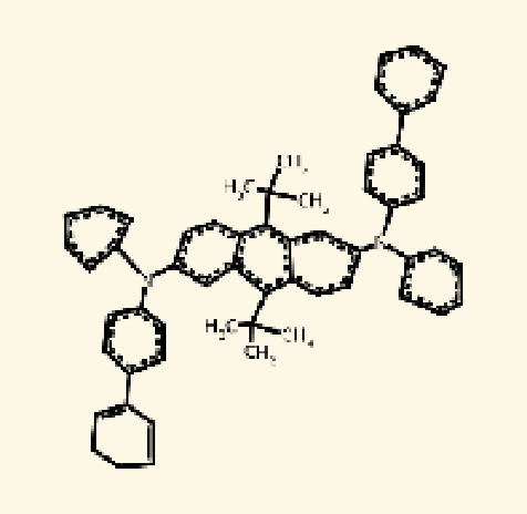 CC(C)(C)c1c2ccc(N(c3ccccc3)c3ccc(-c4ccccc4)cc3)cc2c(C(C)(C)C)c2ccc(N(c3ccccc3)c3ccc(C4=CCCC=C4)cc3)cc12